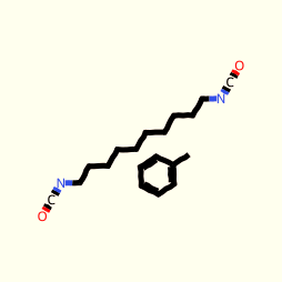 Cc1ccccc1.O=C=NCCCCCCCCCCN=C=O